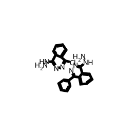 NNc1nnc(-c2ccccc2)c2ccccc12.NNc1nnc(Cl)c2ccccc12